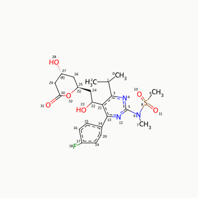 CC(C)c1nc(N(C)S(C)(=O)=O)nc(-c2ccc(F)cc2)c1C(O)C[C@@H]1C[C@@H](O)CC(=O)O1